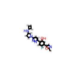 Cc1ncc(-c2cc(O)c(-c3ccc(N4CC[C@@H](NC5CCC5)C4)nn3)cc2F)o1